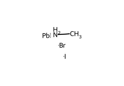 CN.[Br].[I].[Pb]